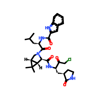 CC(C)C[C@H](NC(=O)c1cc2ccccc2[nH]1)C(=O)N1C[C@H]2[C@@H]([C@H]1C(=O)N[C@@H](C[C@@H]1CCNC1=O)C(=O)CCl)C2(C)C